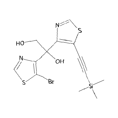 C[Si](C)(C)C#Cc1scnc1C(O)(CO)c1ncsc1Br